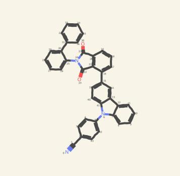 N#Cc1ccc(-n2c3ccccc3c3cc(-c4cccc5c4C(=O)N(c4ccccc4-c4ccccc4)C5=O)ccc32)cc1